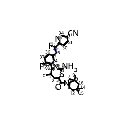 CC1CC(C(=O)N2CC3(C)CC2CC(C)(C)C3)SC(N)=N[C@]1(C)c1cc(/C=C(\F)c2ccc(C#N)cn2)ccc1F